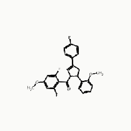 COc1cc(F)c(C(=O)C2C=C(c3ccc(F)cc3)CC2c2ccccc2OC)c(F)c1